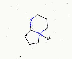 CC[N+]12CCCN=C1CCC2